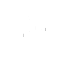 [2H]c1cc(C)ccc1C([2H])([2H])CCl